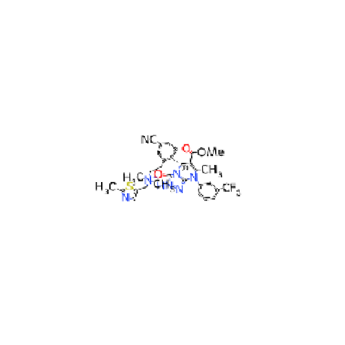 COC(=O)C1=C(C)N(c2cccc(C(F)(F)F)c2)c2n[nH]c(=O)n2[C@@H]1c1ccc(C#N)cc1CC[N+](C)(C)Cc1cnc(C)s1